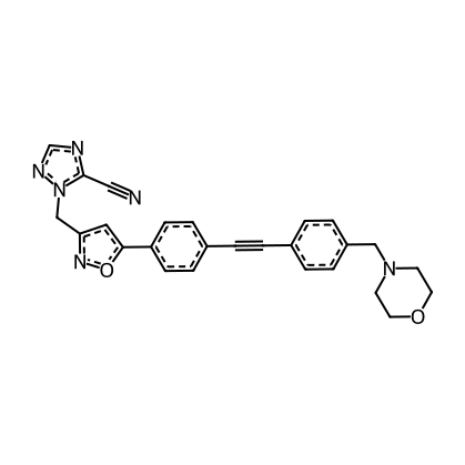 N#Cc1ncnn1Cc1cc(-c2ccc(C#Cc3ccc(CN4CCOCC4)cc3)cc2)on1